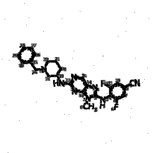 Cn1c(Nc2c(F)cc(C#N)cc2F)nc2cnc(N[C@@H]3CCCN(Cc4ccccc4)C3)nc21